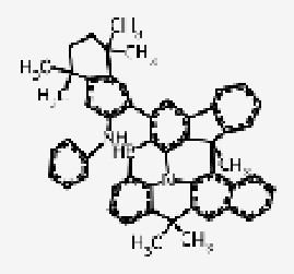 CC1(C)CCC(C)(C)c2cc(-c3cc4c5c6c3Bc3cccc7c3N6c3c(cc6ccccc6c3C5(C)c3ccccc3-4)C7(C)C)c(Nc3ccccc3)cc21